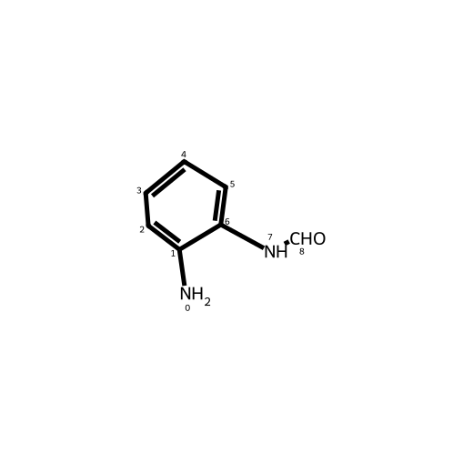 Nc1ccccc1NC=O